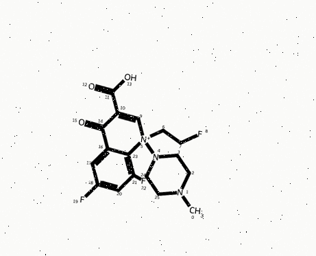 CN1CCN([N+]2(CCF)C=C(C(=O)O)C(=O)c3cc(F)cc(F)c32)CC1